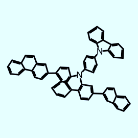 c1ccc(-c2ccc(-c3ccc4ccccc4c3)cc2N(c2ccc(-c3ccc4c(ccc5ccccc54)c3)cc2)c2ccc(-n3c4ccccc4c4ccccc43)cc2)cc1